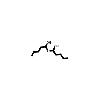 CCCCC(O)OC(O)CCCC